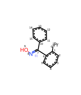 CC(C)c1ccccc1/C(=N/O)c1ccccc1